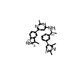 Cc1nc(N[C@@H](C)c2cccc(-c3cnc(C)nc3C)c2)cc(-c2ccc3occ(C)c3c2)n1.N